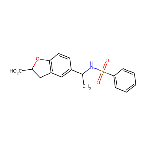 CC(NS(=O)(=O)c1ccccc1)c1ccc2c(c1)CC(C(=O)O)O2